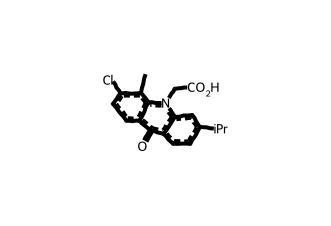 Cc1c(Cl)ccc2c(=O)c3ccc(C(C)C)cc3n(CC(=O)O)c12